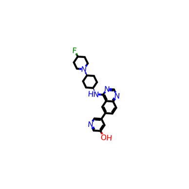 Oc1cncc(-c2ccc3ncnc(N[C@H]4CC[C@H](N5CCC(F)CC5)CC4)c3c2)c1